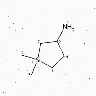 C[Si]1(C)CCC(N)C1